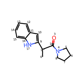 C[C](C(=O)N1CCCC1)c1cc2ccccc2[nH]1